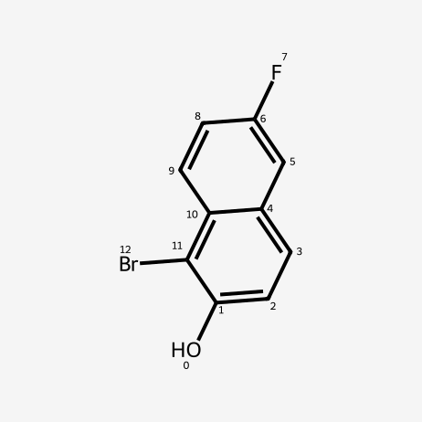 Oc1ccc2cc(F)ccc2c1Br